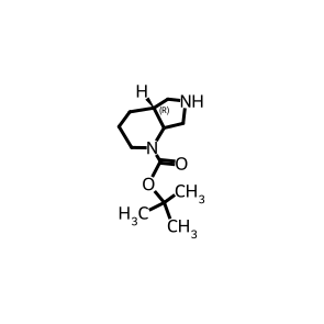 CC(C)(C)OC(=O)N1CCC[C@@H]2CNCC21